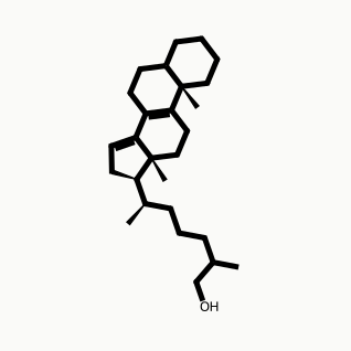 CC(CO)CCC[C@@H](C)[C@H]1CC=C2C3=C(CC[C@@]21C)[C@@]1(C)CCCCC1CC3